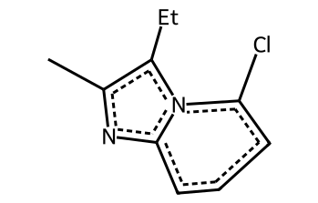 CCc1c(C)nc2cccc(Cl)n12